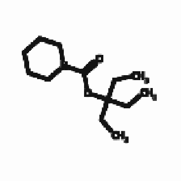 CCC(CC)(CC)OC(=O)N1CCCCC1